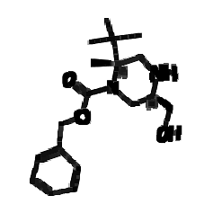 CC(C)(C)[C@]1(C)CN[C@@H](CO)CN1C(=O)OCc1ccccc1